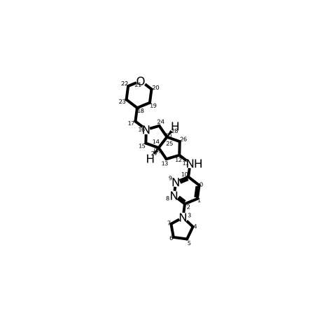 c1cc(N2CCCC2)nnc1NC1C[C@@H]2CN(CC3CCOCC3)C[C@@H]2C1